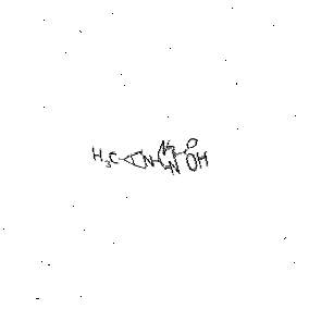 CC1C2CN(c3cnc(C(=O)O)cn3)CC12